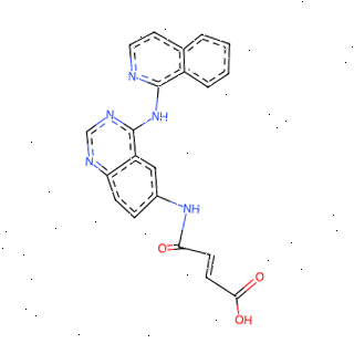 O=C(O)C=CC(=O)Nc1ccc2ncnc(Nc3nccc4ccccc34)c2c1